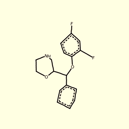 Fc1ccc(OC(c2ccccc2)C2CNCCO2)c(F)c1